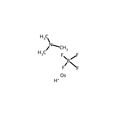 CN(C)C.F[B-](F)(F)F.[H+].[Os]